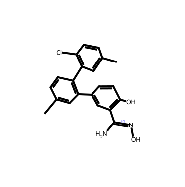 Cc1ccc(Cl)c(-c2ccc(C)cc2-c2ccc(O)c(/C(N)=N/O)c2)c1